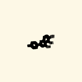 Cc1ccc(-c2cc(O)c3c(O)c(O)ccc3n2)cc1